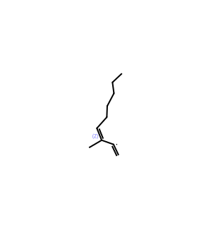 C=[C]/C(C)=C\CCCCC